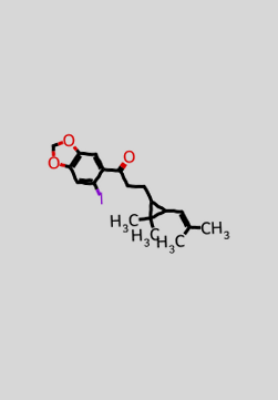 CC(C)=CC1C(CCC(=O)c2cc3c(cc2I)OCO3)C1(C)C